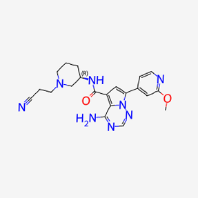 COc1cc(-c2cc(C(=O)N[C@@H]3CCCN(CCC#N)C3)c3c(N)ncnn23)ccn1